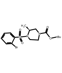 C[C@H]1CN(C(=O)OC(C)(C)C)CCN1S(=O)(=O)c1ccccc1Br